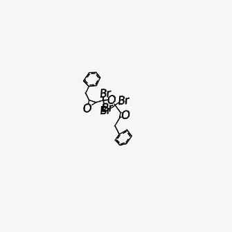 BrC(Br)(OC(Br)(Br)C1OC1Cc1ccccc1)C1OC1Cc1ccccc1